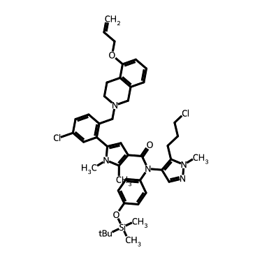 C=CCOc1cccc2c1CCN(Cc1ccc(Cl)cc1-c1cc(C(=O)N(c3ccc(O[Si](C)(C)C(C)(C)C)cc3)c3cnn(C)c3CCCCl)c(C)n1C)C2